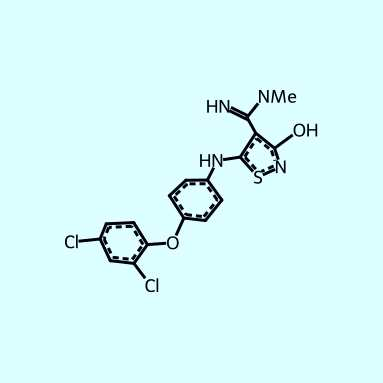 CNC(=N)c1c(O)nsc1Nc1ccc(Oc2ccc(Cl)cc2Cl)cc1